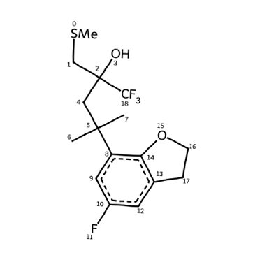 CSCC(O)(CC(C)(C)c1cc(F)cc2c1OCC2)C(F)(F)F